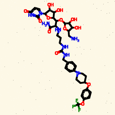 NCC1OC(OC(C(NCCCNC(=O)NCc2ccc(N3CCC(Oc4ccc(OC(F)(F)F)cc4)CC3)cc2)C(N)=O)C2OC(n3ccc(=O)[nH]c3=O)C(O)C2O)C(O)C1O